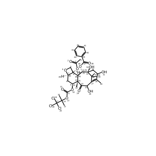 CC(=O)O[C@@]12CO[C@@H]1C[C@H](OC(=O)OC(C)(C)C(Cl)(Cl)Cl)[C@@]1(C)C(=O)C(O)C3=C(C)C(O)C[C@@](O)([C@@H](OC(=O)c4ccccc4)[C@H]21)C3(C)C